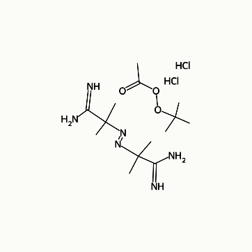 CC(=O)OOC(C)(C)C.CC(C)(/N=N/C(C)(C)C(=N)N)C(=N)N.Cl.Cl